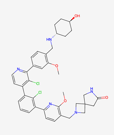 COc1cc(-c2nccc(-c3cccc(-c4ccc(CN5CC6(CNC(=O)C6)C5)c(OC)n4)c3Cl)c2Cl)ccc1CN[C@H]1CC[C@H](O)CC1